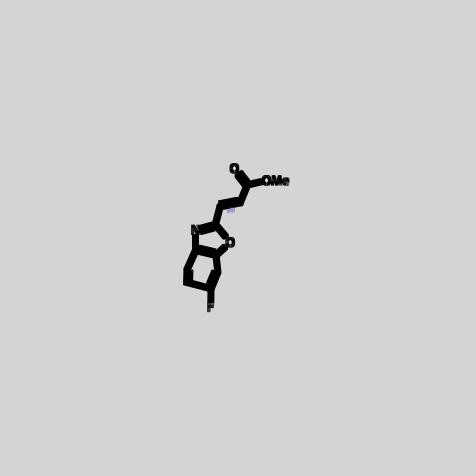 COC(=O)/C=C/c1nc2ccc(F)cc2o1